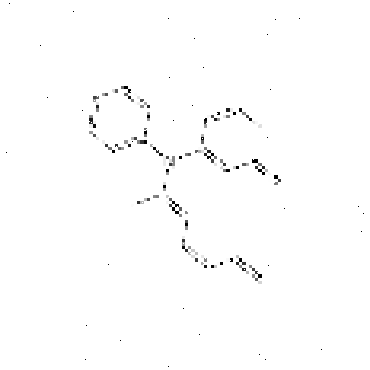 C=C/C=C\C=C(/C)N(C(/C=C\C)=C/C=C)c1ccccc1